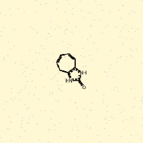 O=c1[nH]c2c([nH]1)CC=CC=C2